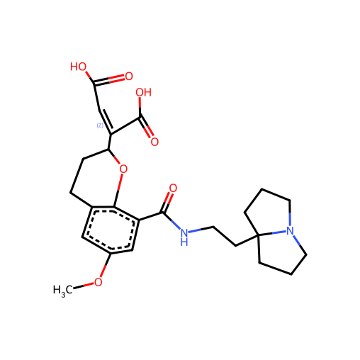 COc1cc2c(c(C(=O)NCCC34CCCN3CCC4)c1)OC(/C(=C/C(=O)O)C(=O)O)CC2